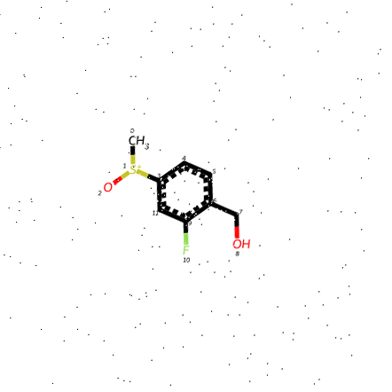 C[S+]([O-])c1ccc(CO)c(F)c1